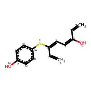 C=C/C(O)=C\C=C(/C=C)Sc1ccc(O)cc1